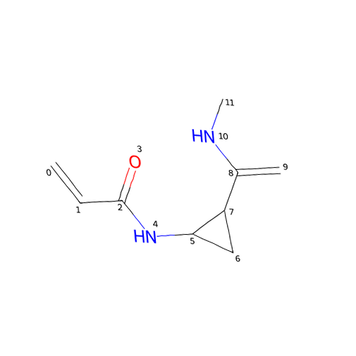 C=CC(=O)NC1CC1C(=C)NC